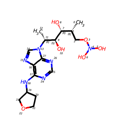 C[C@H](CON(O)O)[C@@H](O)[C@@H](O)[C@@H](C)n1cnc2c(NC3CCOC3)ncnc21